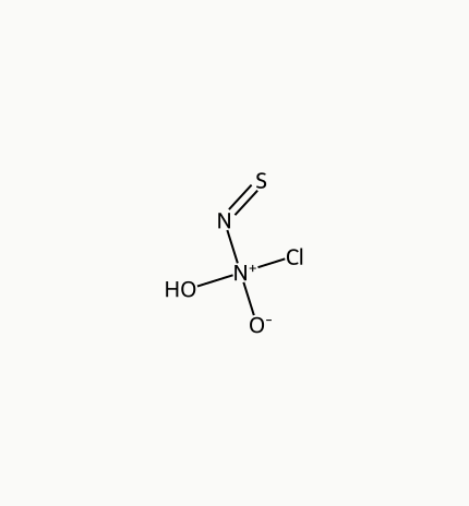 [O-][N+](O)(Cl)N=S